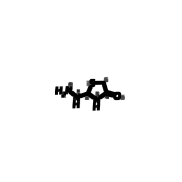 NNC1NC(=O)CS1